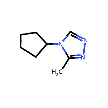 Cc1nncn1C1CCCC1